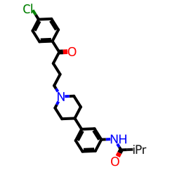 CC(C)C(=O)Nc1cccc(C2CCN(CCCC(=O)c3ccc(Cl)cc3)CC2)c1